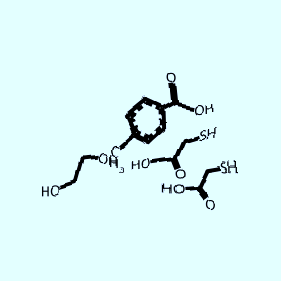 Cc1ccc(C(=O)O)cc1.O=C(O)CS.O=C(O)CS.OCCO